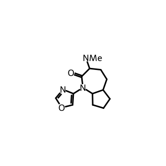 CNC1CCC2CCCC2N(c2cocn2)C1=O